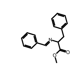 COC(=O)C(Cc1ccccc1)/N=C/c1ccccc1